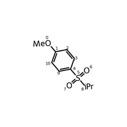 COc1c[c]c(S(=O)(=O)C(C)C)cc1